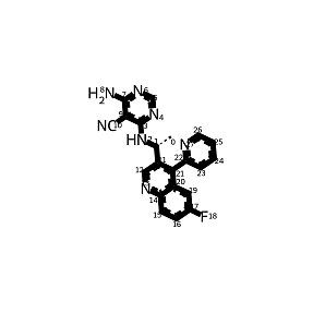 C[C@@H](Nc1ncnc(N)c1C#N)c1cnc2ccc(F)cc2c1-c1ccccn1